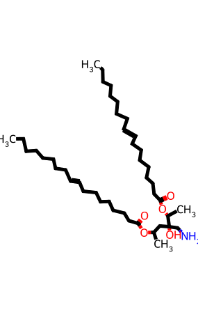 CCCCCCCCC=CCCCCCCCC(=O)OC(C)CC(O)(CN)C(C)OC(=O)CCCCCCCC=CCCCCCCCC